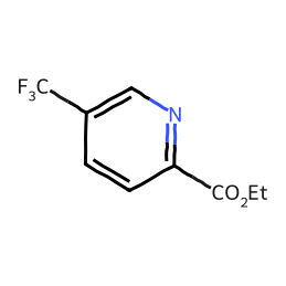 CCOC(=O)c1ccc(C(F)(F)F)cn1